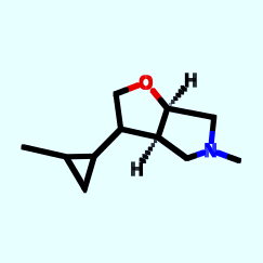 CC1CC1C1CO[C@H]2CN(C)C[C@@H]12